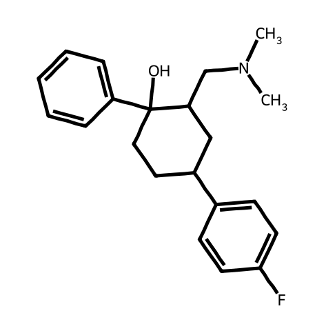 CN(C)CC1CC(c2ccc(F)cc2)CCC1(O)c1ccccc1